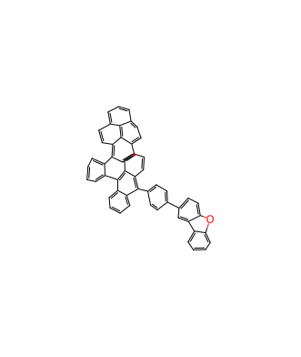 c1ccc(-c2ccc3ccc4cccc5ccc2c3c45)c(-c2c3ccccc3c(-c3ccc(-c4ccc5oc6ccccc6c5c4)cc3)c3ccccc23)c1